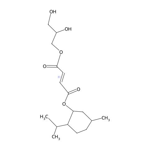 CC1CCC(C(C)C)C(OC(=O)/C=C/C(=O)OCC(O)CO)C1